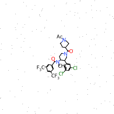 CC(=O)N1CCC(C(=O)N2CCC(N(C)C(=O)c3cc(C(F)(F)F)cc(C(F)(F)F)c3)C(c3cc(Cl)cc(Cl)c3)C2)CC1